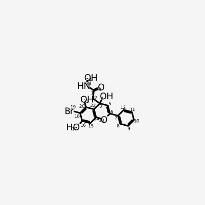 O=C(CC1(O)C=C(c2ccccc2)Oc2cc(O)c(Br)c(O)c21)NO